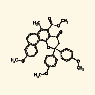 COC(=O)c1c2c(c3c(ccc4cc(OC)ccc43)c1C)OC(c1ccc(OC)cc1)(c1ccc(OC)cc1)CC2=O